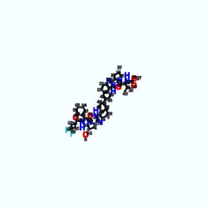 COC[C@H]1C[C@@H](c2nc3ccc4cc(-c5ccc6c(ccc7nc([C@@H]8C[C@H](C)CN8C(=O)C(NC(=O)OC)C(C)C)[nH]c76)c5)ccc4c3[nH]2)N(C(=O)[C@H](NC(=O)C2CC(F)(F)C2)c2ccccc2)C1